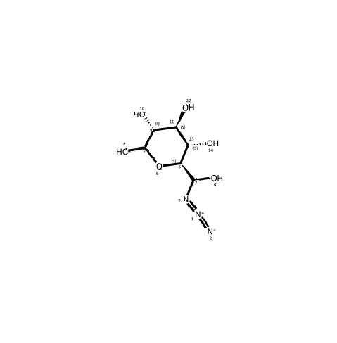 [N-]=[N+]=NC(O)[C@H]1OC(O)[C@H](O)[C@@H](O)[C@@H]1O